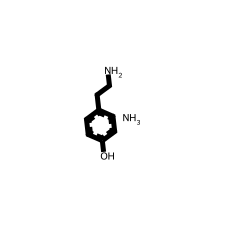 N.NCCc1ccc(O)cc1